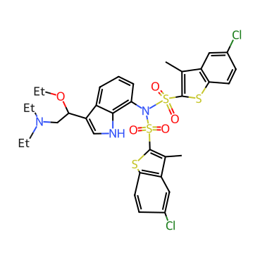 CCOC(CN(CC)CC)c1c[nH]c2c(N(S(=O)(=O)c3sc4ccc(Cl)cc4c3C)S(=O)(=O)c3sc4ccc(Cl)cc4c3C)cccc12